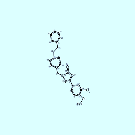 CC(C)Oc1ccc(-c2nn(Cc3ccc(CCc4ccccc4)cc3)c(=O)o2)cc1Cl